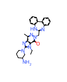 CCn1c(N2CCCC(N)C2)nc2c(C)nn(CC3=Nc4ccccc4-c4ccccc4N3)c(=O)c21